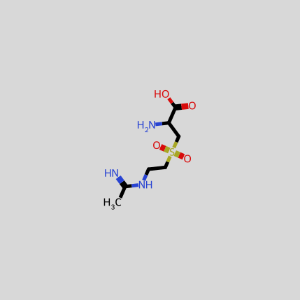 CC(=N)NCCS(=O)(=O)CC(N)C(=O)O